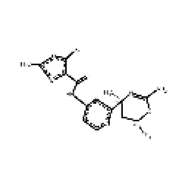 Cc1nc(C(=O)Nc2ccnc([C@]3(C)C[C@@H](C)SC(N)=N3)c2)c(C(C)C)o1